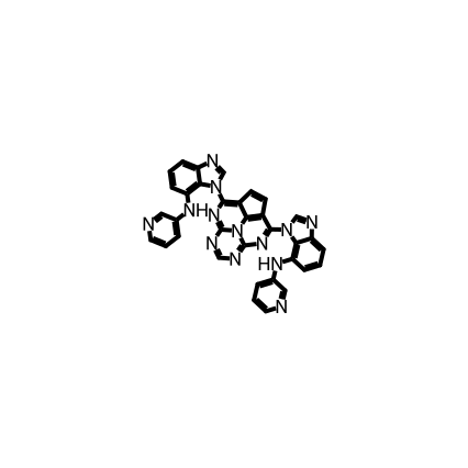 c1cncc(Nc2cccc3ncn(-c4nc5ncnc6nc(-n7cnc8cccc(Nc9cccnc9)c87)c7ccc4c7n56)c23)c1